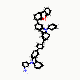 Nc1cccc(-n2c3ccccc3c3cc(-c4ccc(-c5ccc6c(c5)c5ccc(-c7cccc8c7oc7ccccc78)cc5n6-c5ccccc5)cc4)ccc32)c1